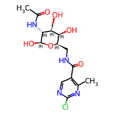 CC(=O)N[C@@H]1[C@@H](O)[C@@H](O)[C@@H](CNC(=O)c2cnc(Cl)nc2C)O[C@H]1O